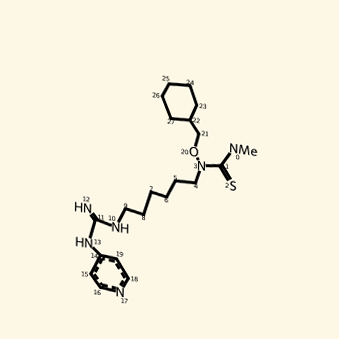 CNC(=S)N(CCCCCCNC(=N)Nc1ccncc1)OCC1CCCCC1